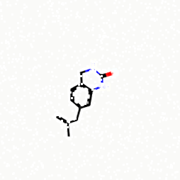 C=C(C)Cc1ccc2c(c1)NC(=O)NC2